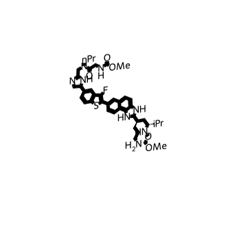 CCCN(CC1=NCC(c2ccc3sc(-c4ccc5c6c(ccc5c4)NC([C@H](CCCN)C[C@@H](NOCOC)C(C)C)N6)c(F)c3c2)N1)C(=O)CNC(=O)OC